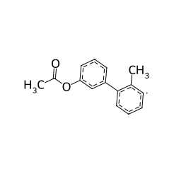 CC(=O)Oc1cccc(-c2ccc[c]c2C)c1